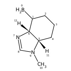 BC1CCC[C@H]2[C@@H]1N=CN2C